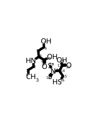 CCCNC(CCO)C(=O)O.O=C(O)C(CS)[N+](=S)[S-]